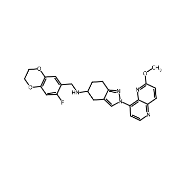 COc1ccc2nccc(-n3cc4c(n3)CCC(NCc3cc5c(cc3F)OCCO5)C4)c2n1